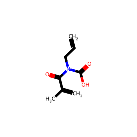 C=CCN(C(=O)O)C(=O)C(=C)C